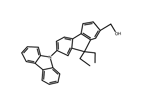 CCC1(CC)c2cc(CO)ccc2-c2ccc(-n3c4ccccc4c4ccccc43)cc21